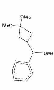 COC(c1ccccc1)C1CC(OC)(OC)C1